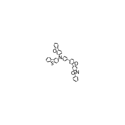 c1ccc(-c2nc3cc4oc5ccc(-c6ccc(N(c7ccc8c(c7)oc7ccccc78)c7ccc8sc9ccccc9c8c7)cc6)cc5c4cc3o2)cc1